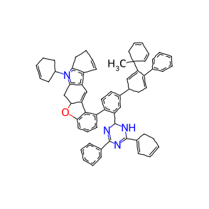 CC1(C2=CC(c3ccc(-c4cccc5c4C4=Cc6c7c(n(C8CC=CCC8)c6CC4O5)CCC=C7)c(C4N=C(c5ccccc5)N=C(C5=CC=CCC5)N4)c3)CC=C2c2ccccc2)C=CC=CC1